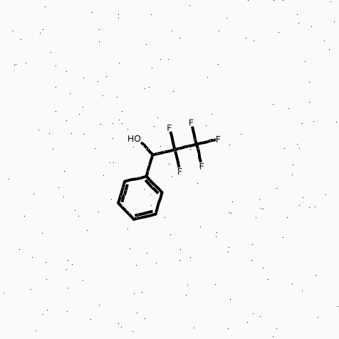 OC(c1ccccc1)C(F)(F)C(F)(F)F